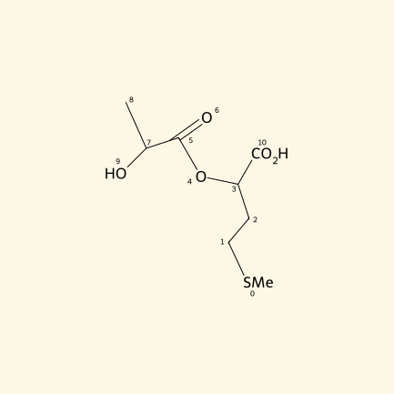 CSCCC(OC(=O)C(C)O)C(=O)O